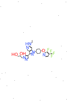 CCNc1cc2c(cn1)c(-c1cnn(CC(O)CO)c1)nn2C1CCC(Oc2nccc(C(F)(F)F)c2F)CC1